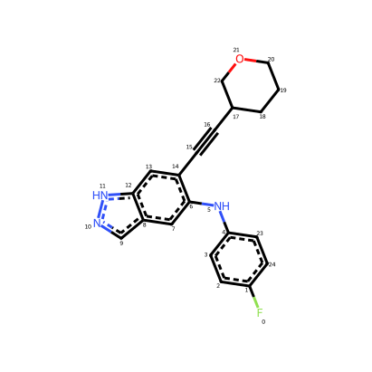 Fc1ccc(Nc2cc3cn[nH]c3cc2C#CC2CCCOC2)cc1